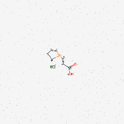 Cl.O=C(O)C=CP1C=CCC1